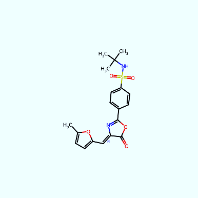 Cc1ccc(/C=C2\N=C(c3ccc(S(=O)(=O)NC(C)(C)C)cc3)OC2=O)o1